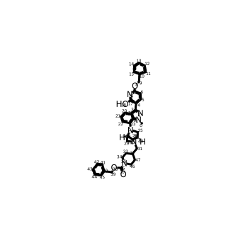 Cn1nc(-c2ccc(OCc3ccccc3)nc2O)c2cccc(N3C[C@@H]4C[C@H]3CN4CC3CCN(C(=O)OCc4ccccc4)CC3)c21